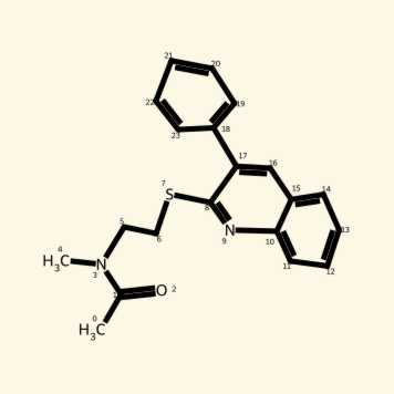 CC(=O)N(C)CCSc1nc2ccccc2cc1-c1ccccc1